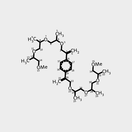 C=C(COC(C)COC(C)COC(C)COC)c1ccc(C(=C)COC(C)COC(C)COC(C)COC)cc1